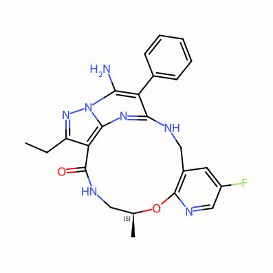 CCc1nn2c(N)c(-c3ccccc3)c3nc2c1C(=O)NC[C@H](C)Oc1ncc(F)cc1CN3